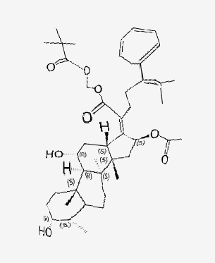 CC(=O)O[C@H]1C[C@@]2(C)[C@H](C[C@@H](O)[C@@H]3[C@@]4(C)CC[C@@H](O)[C@@H](C)C4CC[C@@]32C)C1=C(CCC(=C(C)C)c1ccccc1)C(=O)OCOC(=O)C(C)(C)C